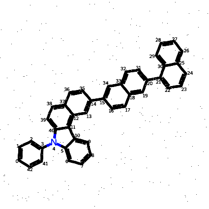 c1ccc(-n2c3ccccc3c3c4cc(-c5ccc6cc(-c7cccc8ccccc78)ccc6c5)ccc4ccc32)cc1